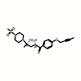 CC#CCOc1ccc(C(=O)NC[C@](C)(C(=O)O)N2CCN(S(C)(=O)=O)CC2)cc1